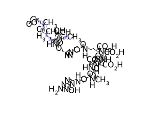 C/C=C/[C@@H]1O[C@H]([C@@H](/C=C/C=C(\C)C[C@@H](C)/C=C(C)\C=C\[C@H]2CC=CC(=O)O2)NC(=O)OCCc2cn(-c3ccc(C(=O)NCCCC[C@H](NC(=O)[C@H](CC(=O)O)NC(=O)[C@H](CC(=O)O)NC(=O)[C@@H](CC(=O)O)NC(=O)CC[C@@H](C)NC(=O)c4ccc(NCc5cnc6nc(N)nc(O)c6n5)cc4)C(=O)O)cc3)nn2)C[C@@H](O)[C@@H]1C